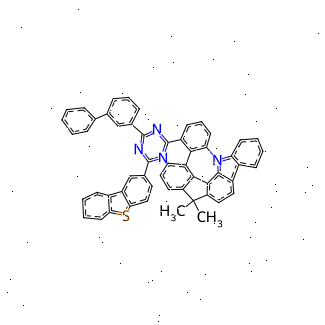 CC1(C)c2cccc3c2-c2c1ccc1c4ccccc4n(c21)-c1cccc(-c2nc(-c4cccc(-c5ccccc5)c4)nc(-c4ccc5sc6ccccc6c5c4)n2)c1-3